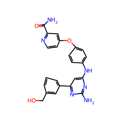 NC(=O)c1cc(Oc2ccc(Nc3cc(-c4cccc(CO)c4)nc(N)n3)cc2)ccn1